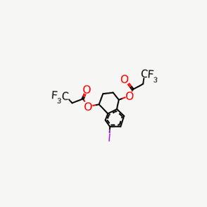 O=C(CC(F)(F)F)OC1CCC(OC(=O)CC(F)(F)F)c2cc(I)ccc21